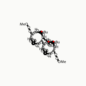 CCCCOc1c2cccc1C(=O)NCCN(CCN1CCNC(=O)c3cccc(c3OCCCC)C(=O)NCCN(CCOCCOCCOC)CCNC(=O)c3cccc(c3OCCCC)C(=O)NC(CCCCNC(=O)OC(C)(C)C)C1)CCNC(=O)c1cccc(c1OCCCC)C(=O)NCCN(CCOCCOCCOC)CCNC2=O